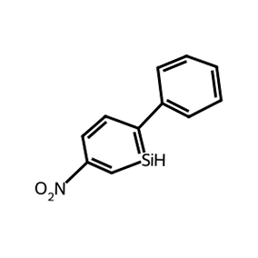 O=[N+]([O-])c1ccc(-c2ccccc2)[siH]c1